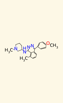 COc1ccc(-c2nnc(NC3CCCN(C)C3)c3c(C)cccc23)cc1